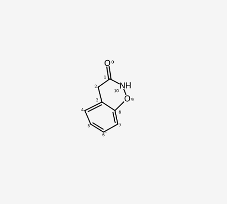 O=C1Cc2cc[c]cc2ON1